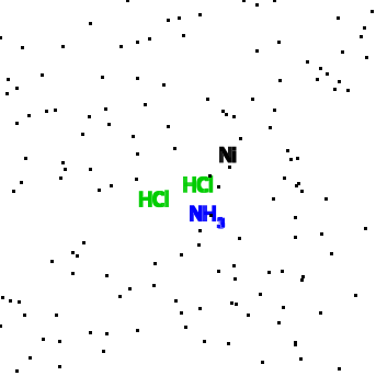 Cl.Cl.N.[Ni]